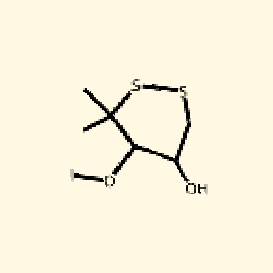 CC1(C)SSCC(O)C1OI